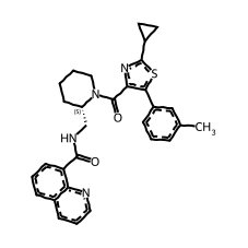 Cc1cccc(-c2sc(C3CC3)nc2C(=O)N2CCCC[C@H]2CNC(=O)c2cccc3cccnc23)c1